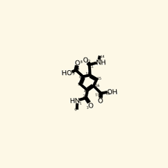 CNC(=O)c1cc(C(=O)O)c(C(=O)NC)cc1C(=O)O